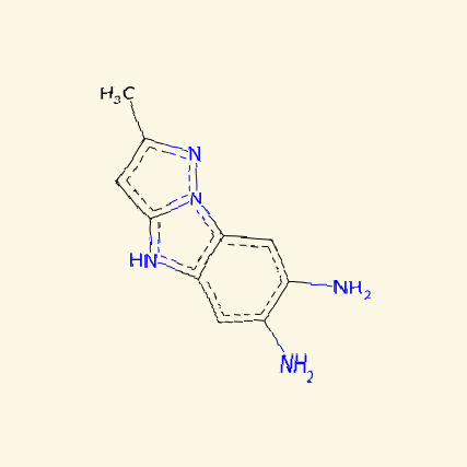 Cc1cc2[nH]c3cc(N)c(N)cc3n2n1